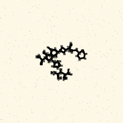 CN(C)C(=N)NC(=N)N.Cc1cc(N2CC(C(=O)NC[C@@H]3CCCCO3)C2)nc2c1c(=O)c(C(=O)O)cn2-c1nccs1